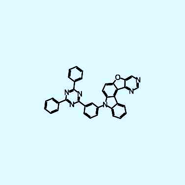 c1ccc(-c2nc(-c3ccccc3)nc(-c3cccc(-n4c5ccccc5c5c6c(ccc54)oc4cncnc46)c3)n2)cc1